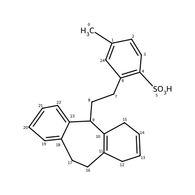 Cc1ccc(S(=O)(=O)O)c(CCC2C3=C(CC=CC3)CCc3ccccc32)c1